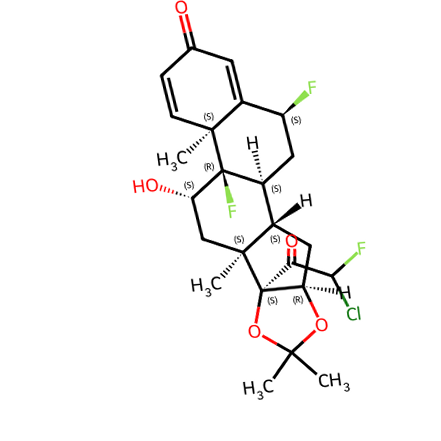 CC1(C)O[C@@H]2C[C@H]3[C@@H]4C[C@H](F)C5=CC(=O)C=C[C@]5(C)[C@@]4(F)[C@@H](O)C[C@]3(C)[C@]2(C(=O)C(F)Cl)O1